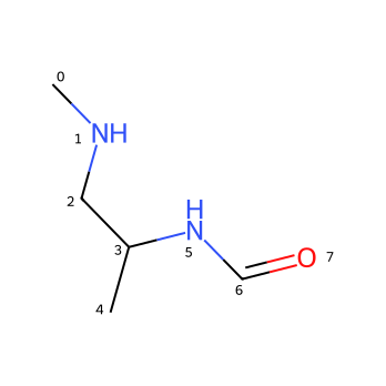 CNCC(C)NC=O